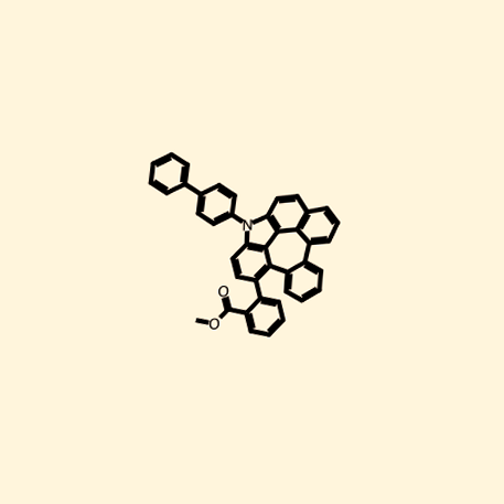 COC(=O)c1ccccc1-c1ccc2c3c1-c1ccccc1-c1cccc4ccc(c3c14)n2-c1ccc(-c2ccccc2)cc1